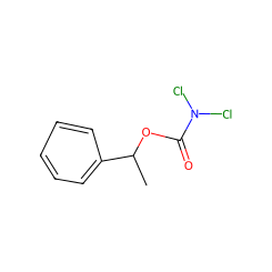 CC(OC(=O)N(Cl)Cl)c1ccccc1